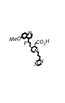 COc1ccc2nccc([C@@H](F)CC[C@@H]3CCN(CCCc4cnccn4)C[C@@H]3CC(=O)O)c2c1